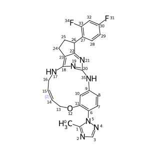 Cc1ncnn1-c1ccc2cc1OC/C=C\CNc1nc(nc3c1CCC3c1ccc(F)cc1F)N2